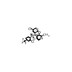 Cc1ncccc1Oc1ncc(Cl)cc1NS(=O)(=O)c1ccc(C(F)(F)F)cc1Cl